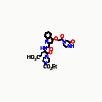 CCOC(=O)N1CCN(C(=O)[C@H](CCC(=O)O)NC(=O)c2cc(OCC(=O)N3CCNC(=O)C3)c3ccccc3n2)CC1